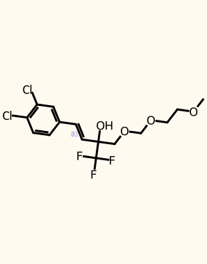 COCCOCOCC(O)(/C=C/c1ccc(Cl)c(Cl)c1)C(F)(F)F